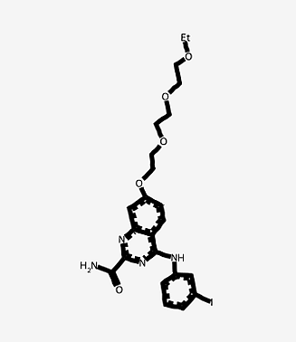 CCOCCOCCOCCOc1[c]cc2c(Nc3cccc(I)c3)nc(C(N)=O)nc2c1